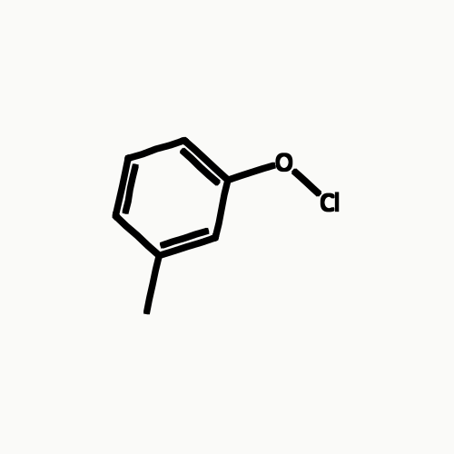 Cc1cccc(OCl)c1